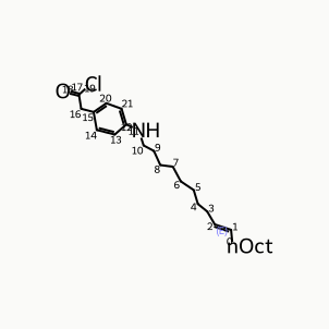 CCCCCCCC/C=C/CCCCCCCCNc1ccc(CC(=O)Cl)cc1